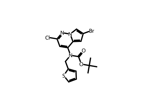 CC(C)(C)OC(=O)N(Cc1cccs1)c1cc(Cl)nn2cc(Br)cc12